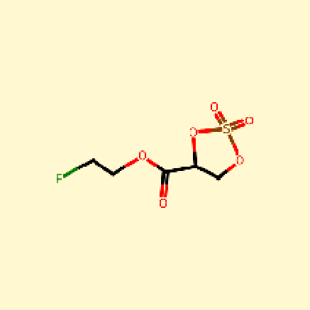 O=C(OCCF)C1COS(=O)(=O)O1